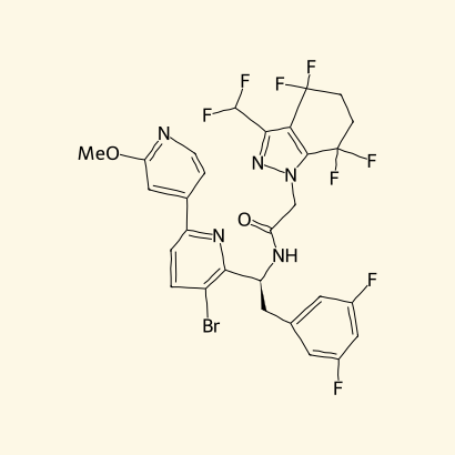 COc1cc(-c2ccc(Br)c([C@H](Cc3cc(F)cc(F)c3)NC(=O)Cn3nc(C(F)F)c4c3C(F)(F)CCC4(F)F)n2)ccn1